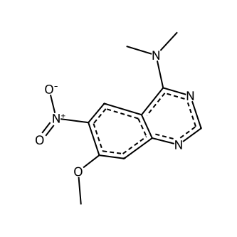 COc1cc2ncnc(N(C)C)c2cc1[N+](=O)[O-]